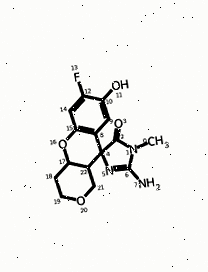 CN1C(=O)C2(N=C1N)c1cc(O)c(F)cc1OC1CCOCC12